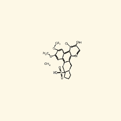 C.COc1cc2c3c(c4ncc(O)c(Cl)c4c2cc1OC)CC1CCCC1(S(=O)(=O)O)C3